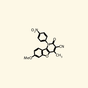 COc1ccc2c(c1)oc1c(C)c(C#N)c(=O)n(-c3ccc([N+](=O)[O-])cc3)c12